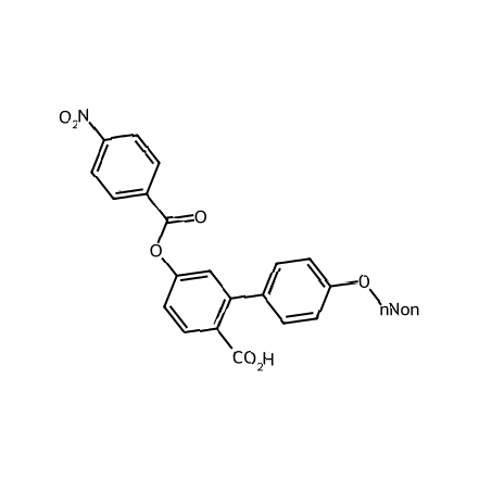 CCCCCCCCCOc1ccc(-c2cc(OC(=O)c3ccc([N+](=O)[O-])cc3)ccc2C(=O)O)cc1